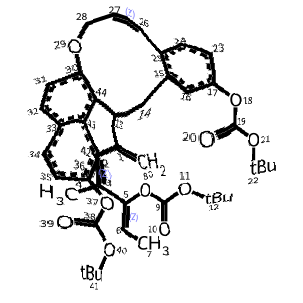 C=C(/C=C(C)\C(=C\C)OC(=O)OC(C)(C)C)C1Cc2cc(OC(=O)OC(C)(C)C)ccc2/C=C\COc2ccc3ccc(OC(=O)OC(C)(C)C)cc3c21